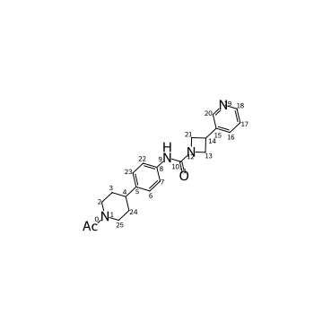 CC(=O)N1CCC(c2ccc(NC(=O)N3CC(c4cccnc4)C3)cc2)CC1